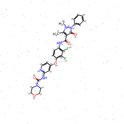 Cc1c(C(=O)Nc2ccc(Oc3ccnc(NC(=O)N4CCOCC4)c3)c(F)c2F)c(=O)n(-c2ccccc2)n1C